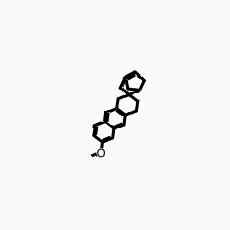 COc1ccc2cc3c(cc2c1)CCC1(CC2=CCC1C2)C3